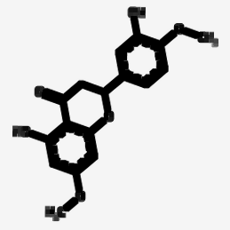 COc1cc(O)c2c(c1)OC(c1ccc(OC)c(O)c1)CC2=O